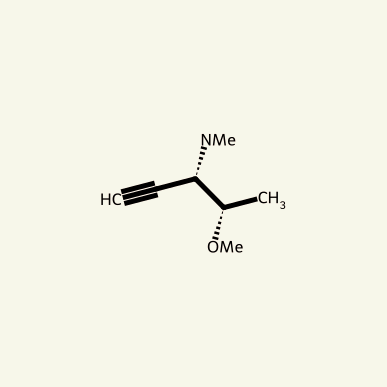 C#C[C@H](NC)[C@H](C)OC